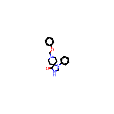 O=C1NCN(c2ccccc2)C12CCN(COc1ccccc1)CC2